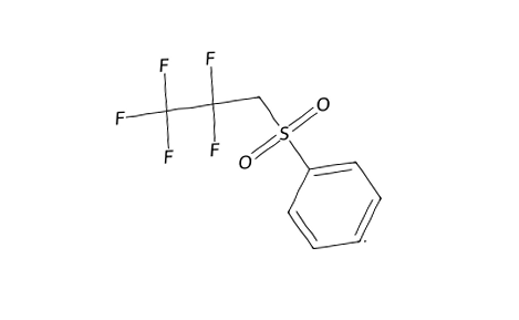 O=S(=O)(CC(F)(F)C(F)(F)F)c1cc[c]cc1